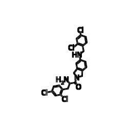 NC(Cc1ccc(Cl)cc1Cl)C(=O)N1Cc2ccc(NCc3ccc(Cl)cc3Cl)cc2C1